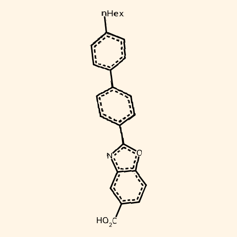 CCCCCCc1ccc(-c2ccc(-c3nc4cc(C(=O)O)ccc4o3)cc2)cc1